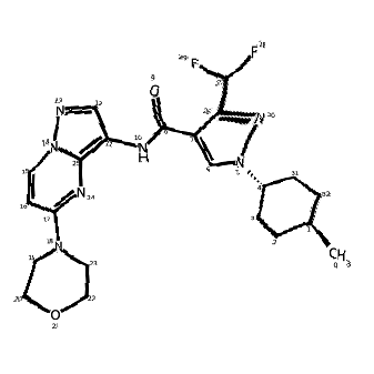 C[C@H]1CC[C@H](n2cc(C(=O)Nc3cnn4ccc(N5CCOCC5)nc34)c(C(F)F)n2)CC1